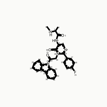 CNC(C)C(=O)Nc1cnc(-c2ccc(F)cc2)n(CC(=O)n2c3ccccc3c3ccccc32)c1=O